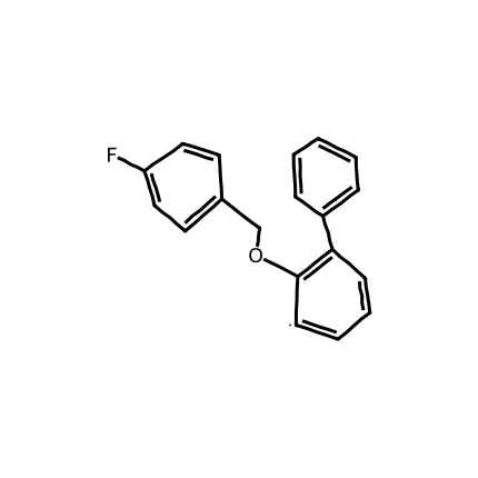 Fc1ccc(COc2[c]cccc2-c2ccccc2)cc1